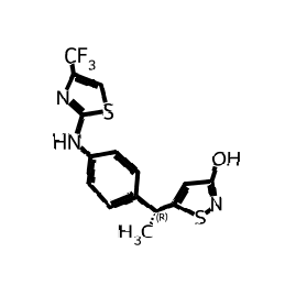 C[C@H](c1ccc(Nc2nc(C(F)(F)F)cs2)cc1)c1cc(O)ns1